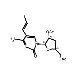 CC(=O)OC[C@@H]1C[C@@H](OC(C)=O)[C@H](n2cc(C=CI)c(N)nc2=O)O1